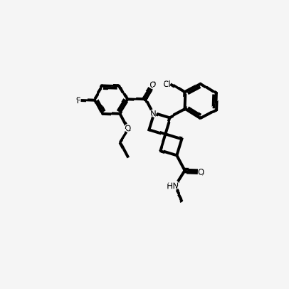 CCOc1cc(F)ccc1C(=O)N1CC2(CC(C(=O)NC)C2)C1c1ccccc1Cl